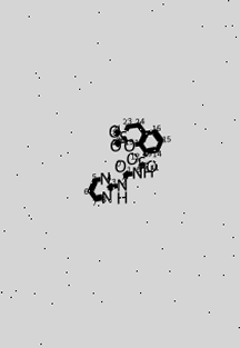 O=C(Nc1ncccn1)NS(=O)(=O)c1cccc2c1OS(=O)(=O)CC2